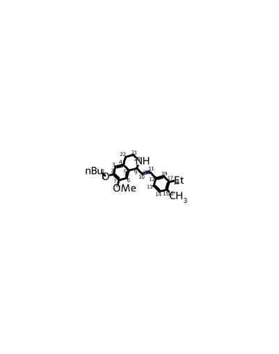 CCCCOc1cc2c(cc1OC)C(/C=C/c1ccc(C)c(CC)c1)NCC2